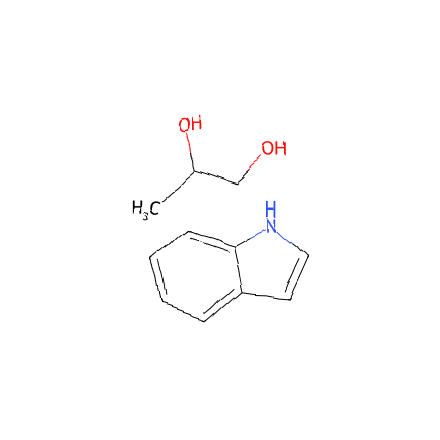 CC(O)CO.c1ccc2[nH]ccc2c1